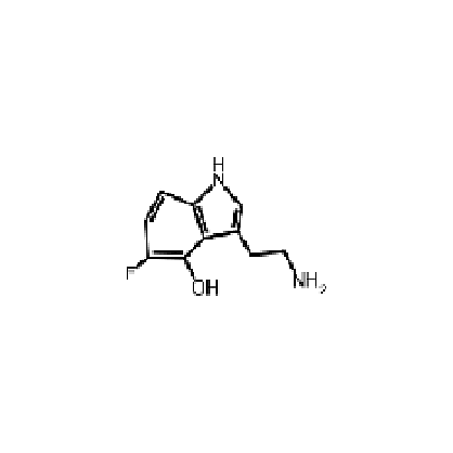 NCCc1c[nH]c2ccc(F)c(O)c12